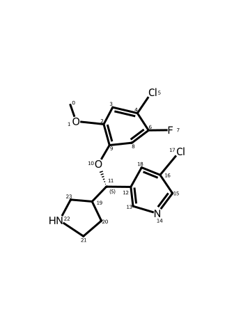 COc1cc(Cl)c(F)cc1O[C@H](c1cncc(Cl)c1)C1CCNC1